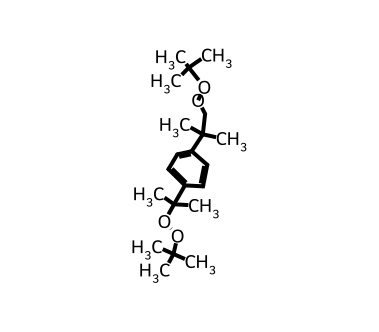 CC(C)(C)OOCC(C)(C)c1ccc(C(C)(C)OOC(C)(C)C)cc1